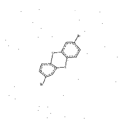 Brc1ccc2c(c1)Oc1ccc(Br)cc1S2